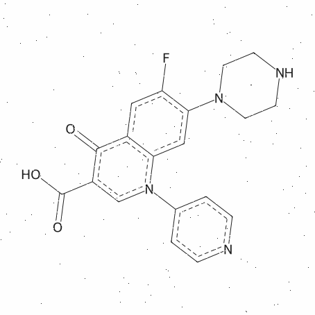 O=C(O)c1cn(-c2ccncc2)c2cc(N3CCNCC3)c(F)cc2c1=O